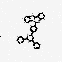 c1ccc(-c2cc(-c3ccc(C4Nc5ccccc5-c5nc6ccccc6n54)cc3)nc(-c3ccccc3)n2)cc1